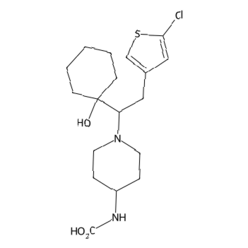 O=C(O)NC1CCN(C(Cc2csc(Cl)c2)C2(O)CCCCC2)CC1